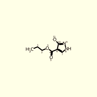 CCCOC(=O)c1c[nH]nc1[O]